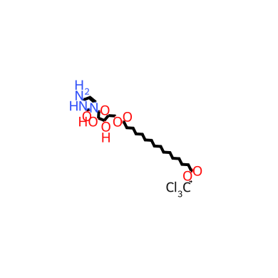 NC1C=CN(C2OC(COC(=O)CCCCCCCCCCCCCCC(=O)OCC(Cl)(Cl)Cl)C(O)C2O)C(=O)N1